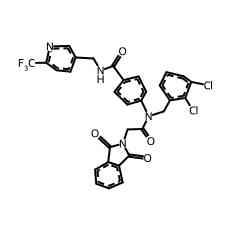 O=C(NCc1ccc(C(F)(F)F)nc1)c1ccc(N(Cc2cccc(Cl)c2Cl)C(=O)CN2C(=O)c3ccccc3C2=O)cc1